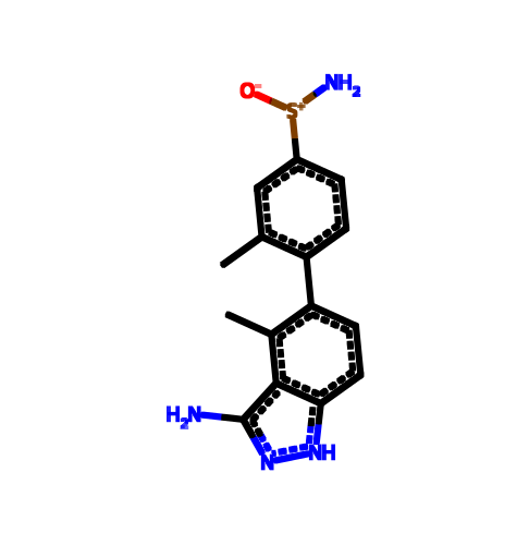 Cc1cc([S+](N)[O-])ccc1-c1ccc2[nH]nc(N)c2c1C